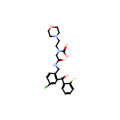 O=C(CN(CCN1CCOCC1)C(=O)O)NCc1ccc(Cl)cc1C(=O)c1ccccc1F